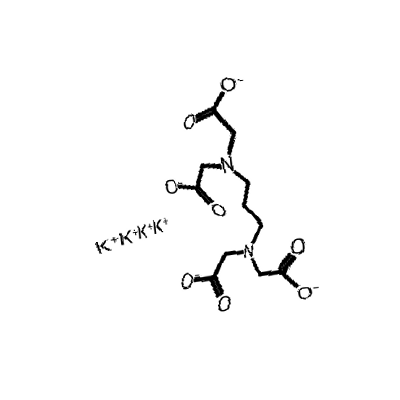 O=C([O-])CN(CCCN(CC(=O)[O-])CC(=O)[O-])CC(=O)[O-].[K+].[K+].[K+].[K+]